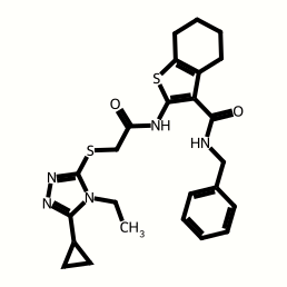 CCn1c(SCC(=O)Nc2sc3c(c2C(=O)NCc2ccccc2)CCCC3)nnc1C1CC1